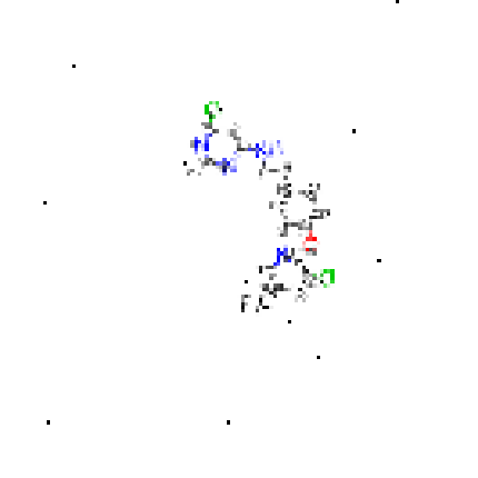 Cc1nc(Cl)cc(NCCc2ccc(Oc3ncc(C(F)(F)F)cc3Cl)cc2)n1